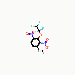 Cc1ccc([N+](=O)[O-])c(OC(F)(F)C(F)F)c1[N+](=O)[O-]